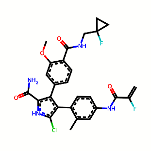 C=C(F)C(=O)Nc1ccc(-c2c(Cl)[nH]c(C(N)=O)c2-c2ccc(C(=O)NCC3(F)CC3)c(OC)c2)c(C)c1